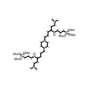 CO[Si](CCCNC(CCCN1CCN(CCCC(CCN(C)C)NCCC[Si](OC)(OC)OC)CC1)CCN(C)C)(OC)OC